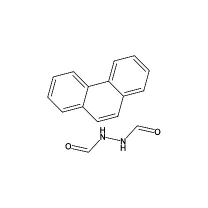 O=CNNC=O.c1ccc2c(c1)ccc1ccccc12